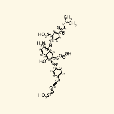 CN(C)CCS(=O)(=O)c1ccc(N=Nc2c(N)ccc3c(O)c(N=Nc4ccc(SC#COOS(=O)(=O)O)cc4)c(SOOO)cc23)c(S(=O)(=O)O)c1